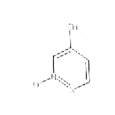 Cc1ccn[n+]([O-])c1